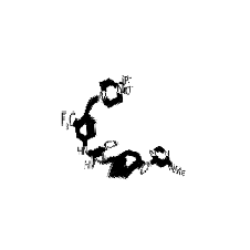 CNc1cc(Oc2ccc(NC(=O)Nc3ccc(CN4CC[N+]([O-])(C(C)C)CC4)c(C(F)(F)F)c3)cc2)ncn1